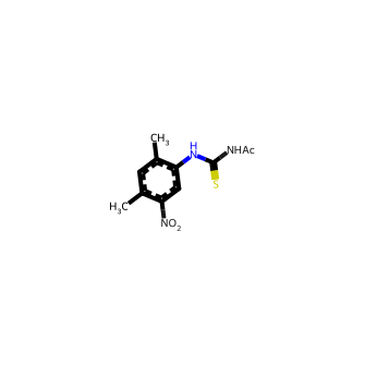 CC(=O)NC(=S)Nc1cc([N+](=O)[O-])c(C)cc1C